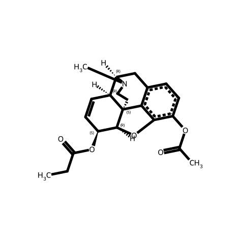 CCC(=O)O[C@H]1C=C[C@H]2[C@H]3Cc4ccc(OC(C)=O)c5c4[C@@]2(CCN3C)[C@H]1O5